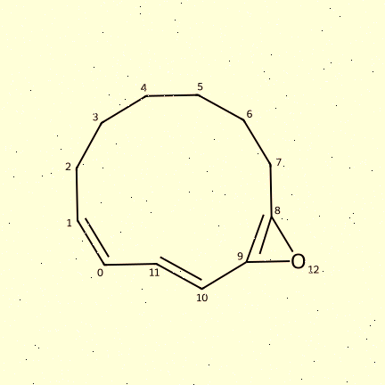 C1=C\CCCCCCC2=C(/C=C/1)O2